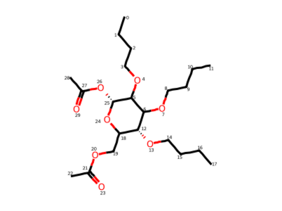 CCCCOC1C(OCCCC)[C@H](OCCCC)C(COC(C)=O)O[C@@H]1OC(C)=O